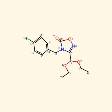 CCOC(OCC)c1noc(=O)n1Cc1ccc(F)cc1